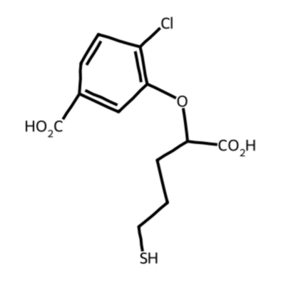 O=C(O)c1ccc(Cl)c(OC(CCCS)C(=O)O)c1